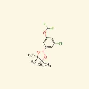 CC1(C)OB(c2cc(Cl)cc(OC(F)F)c2)OC1(C)C